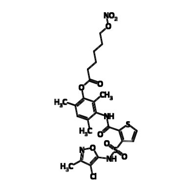 Cc1cc(C)c(OC(=O)CCCCCO[N+](=O)[O-])c(C)c1NC(=O)c1sccc1S(=O)(=O)Nc1onc(C)c1Cl